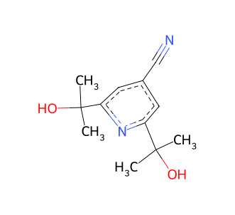 CC(C)(O)c1cc(C#N)cc(C(C)(C)O)n1